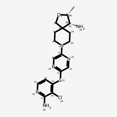 C[C@H]1OCC2(CCN(c3cnc(Sc4ccnc(N)c4Cl)cn3)CC2)[C@H]1N